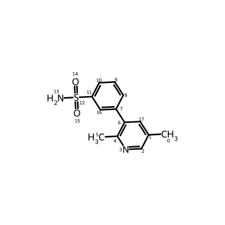 Cc1cnc(C)c(-c2cccc(S(N)(=O)=O)c2)c1